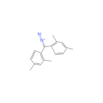 Cc1ccc(C(=[N+]=[N-])c2ccc(C)cc2C)c(C)c1